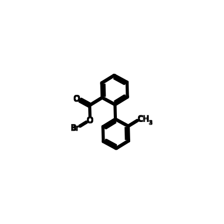 Cc1ccccc1-c1ccccc1C(=O)OBr